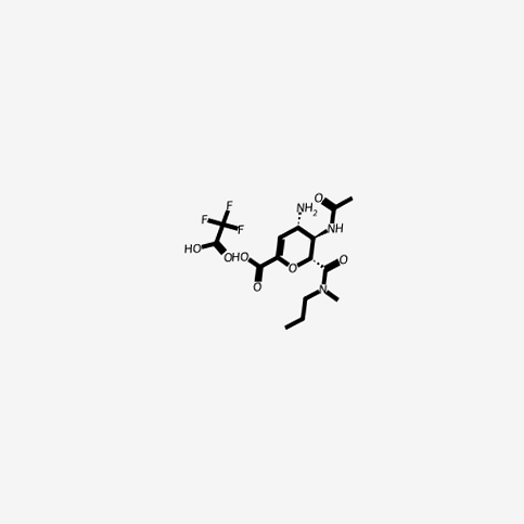 CCCN(C)C(=O)[C@@H]1OC(C(=O)O)=C[C@H](N)[C@H]1NC(C)=O.O=C(O)C(F)(F)F